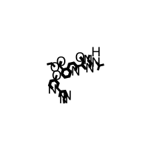 CCOC(=O)c1c(Oc2ccnc(-c3cnn(C)c3)c2)ccc2nc(-c3cnc(NC(C)C)n(C)c3=O)ccc12